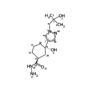 CC(C)(O)Cn1cc([C@]2(O)CCC[C@H](C(=O)NN)C2)cn1